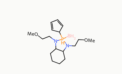 B[PH]1(C2C=CC=C2)N(CCOC)C2CCCCC2N1CCOC